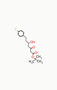 CC(C)(C)OC(=O)CC(=O)CC(O)CCc1ccc(F)cc1